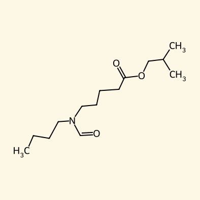 CCCCN(C=O)CCCCC(=O)OCC(C)C